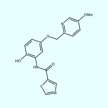 COc1ccc(COc2ccc(O)c(NC(=O)c3cncs3)c2)nc1